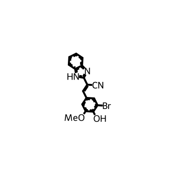 COc1cc(/C=C(\C#N)c2nc3ccccc3[nH]2)cc(Br)c1O